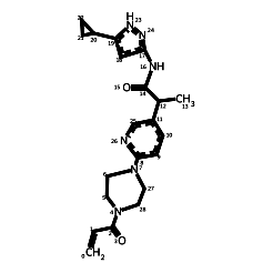 C=CC(=O)N1CCN(c2ccc(C(C)C(=O)Nc3cc(C4CC4)[nH]n3)cn2)CC1